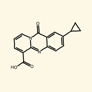 O=C(O)c1cccn2c(=O)c3cc(C4CC4)ccc3nc12